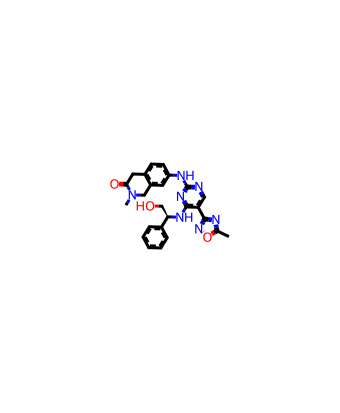 Cc1nc(-c2cnc(Nc3ccc4c(c3)CN(C)C(=O)C4)nc2N[C@H](CO)c2ccccc2)no1